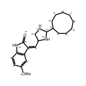 COc1ccc2c(c1)/C(=C/C1CNC(C3CCCCCCCC3)N1)C(=O)N2